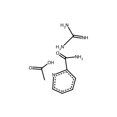 CC(=O)O.N=C(N)N.NC(=O)c1ccccn1